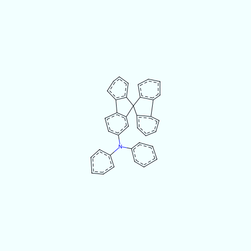 c1ccc(N(c2ccccc2)c2ccc3c(c2)C2(c4ccccc4-c4ccccc42)c2ccccc2-3)cc1